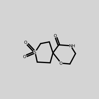 O=C1NCCOC12CCS(=O)(=O)CC2